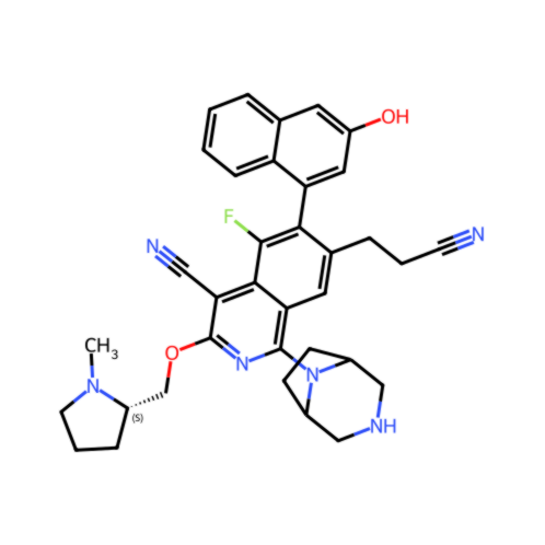 CN1CCC[C@H]1COc1nc(N2C3CCC2CNC3)c2cc(CCC#N)c(-c3cc(O)cc4ccccc34)c(F)c2c1C#N